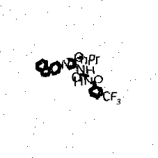 CCCO[C@H]1CN(C2CCC3(C=Cc4ccccc43)CC2)C[C@@H]1NC(=O)CNC(=O)c1cccc(C(F)(F)F)c1